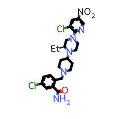 CC[C@H]1CN(c2ncc([N+](=O)[O-])cc2Cl)CCN1C1CCN(Cc2ccc(Cl)cc2C(N)=O)CC1